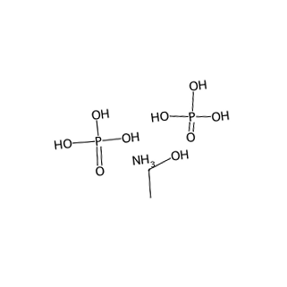 CCO.N.O=P(O)(O)O.O=P(O)(O)O